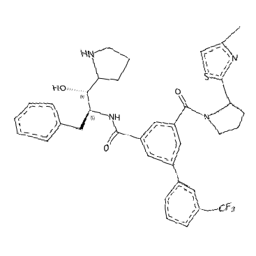 Cc1csc(C2CCCN2C(=O)c2cc(C(=O)N[C@@H](Cc3ccccc3)[C@H](O)C3CCCN3)cc(-c3cccc(C(F)(F)F)c3)c2)n1